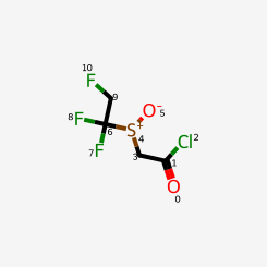 O=C(Cl)C[S+]([O-])C(F)(F)CF